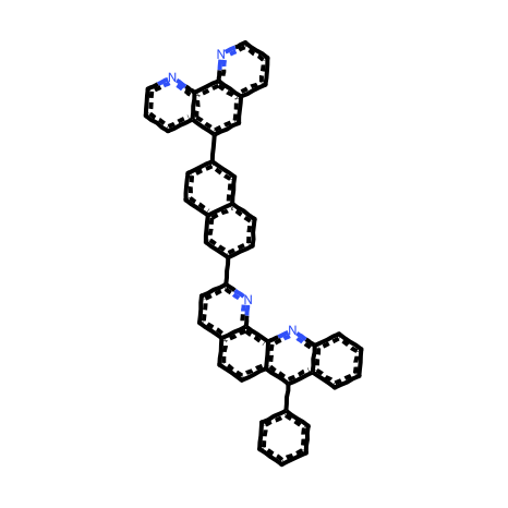 c1ccc(-c2c3ccccc3nc3c2ccc2ccc(-c4ccc5cc(-c6cc7cccnc7c7ncccc67)ccc5c4)nc23)cc1